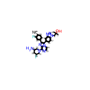 CC(C)(O)Cn1nnc2cc(-c3c(-c4ccc(C#N)c(F)c4)nc4c(N5C[C@H](N)C[C@H](F)C5)nccn34)ccc21